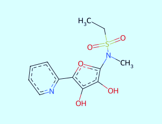 CCS(=O)(=O)N(C)c1oc(-c2ccccn2)c(O)c1O